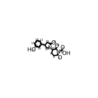 O=C(O)N1C(=O)CCC(N2CC(c3cccc(O)c3)CC2=O)C1=O